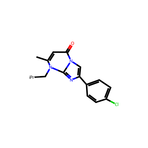 Cc1cc(=O)n2cc(-c3ccc(Cl)cc3)nc2n1CC(C)C